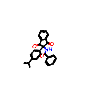 CC(C)c1c[c]c(C2(NC(=O)c3ccccc3)C(=O)c3ccccc3C2=O)cc1